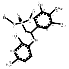 CCOP(=O)(CC(Nc1ccc(C)nc1C)c1cc(C)c(OC)c(O)c1)OCC